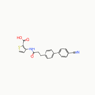 N#Cc1ccc(-c2ccc(CCC(=O)Nc3ccsc3C(=O)O)cc2)cc1